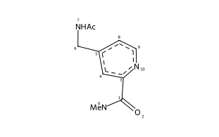 CNC(=O)c1cc(CNC(C)=O)ccn1